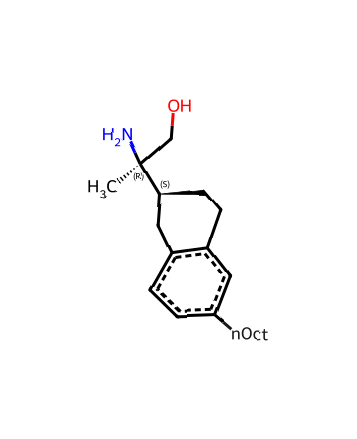 CCCCCCCCc1ccc2c(c1)CC[C@H]([C@@](C)(N)CO)C2